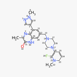 Cc1nc2c(-c3cnn(C)c3)cc(CN3CCN(C4=C(F)N(C)CC=C4)CC3)cc2[nH]c1=O